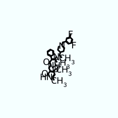 COc1cc(C)[nH]c(=O)c1CNC(=O)c1c(C)n(C(C)C2CCN(Cc3cc(F)cc(F)c3)CC2)c2ccccc12